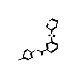 CC(C)c1ccc(NC(=O)c2cccc(S(=O)(=O)c3cccnc3)c2)cc1